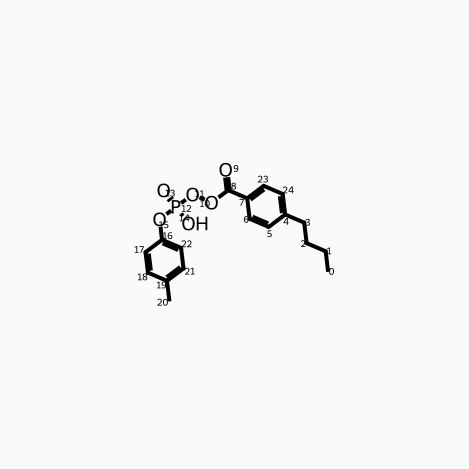 CCCCc1ccc(C(=O)OOP(=O)(O)Oc2ccc(C)cc2)cc1